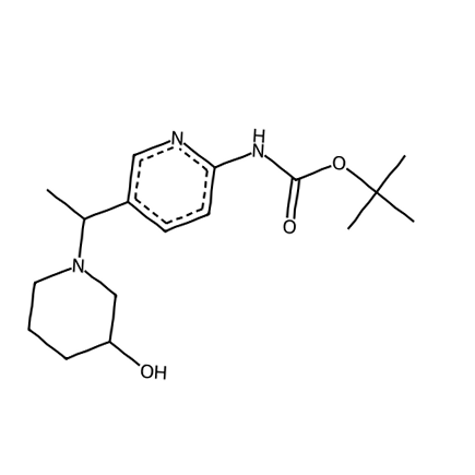 CC(c1ccc(NC(=O)OC(C)(C)C)nc1)N1CCCC(O)C1